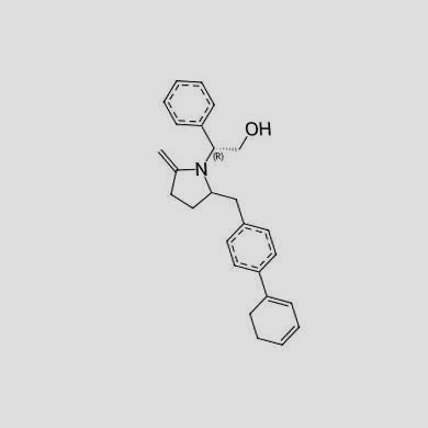 C=C1CCC(Cc2ccc(C3=CC=CCC3)cc2)N1[C@@H](CO)c1ccccc1